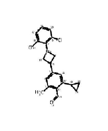 Cc1cc(C2CN(c3c(Cl)cccc3Cl)C2)cc(C2CC2)c1C=O